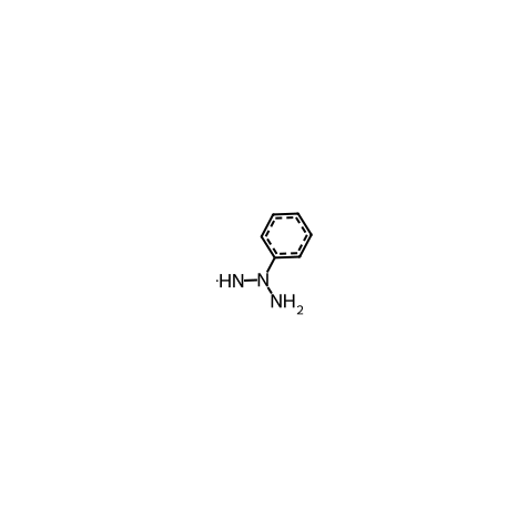 [NH]N(N)c1ccccc1